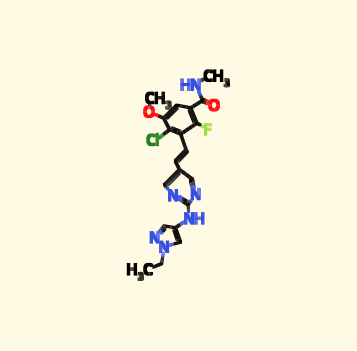 CCn1cc(Nc2ncc(/C=C/c3c(F)c(C(=O)NC)cc(OC)c3Cl)cn2)cn1